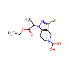 CCOC(=O)C(C)n1nc(Br)c2c1CCN(C(=O)O)C2